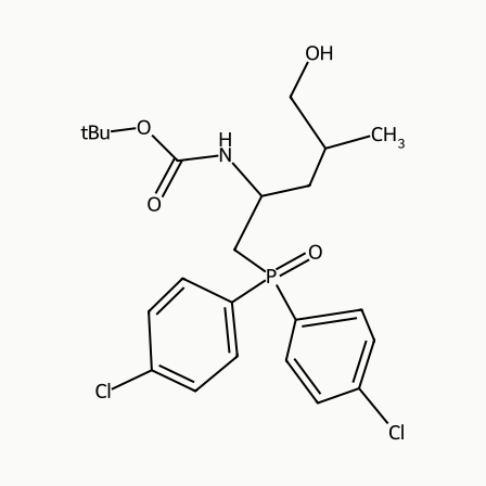 CC(CO)CC(CP(=O)(c1ccc(Cl)cc1)c1ccc(Cl)cc1)NC(=O)OC(C)(C)C